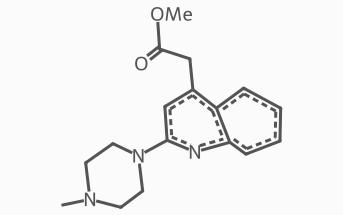 COC(=O)Cc1cc(N2CCN(C)CC2)nc2ccccc12